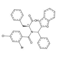 O=C(O)[C@H](Cc1ccccc1)N(C(=O)c1ccc(Cl)cc1Br)C(c1ccccc1)c1cc2ccccc2o1